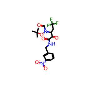 CC(C)(C)ON(C=O)C(CC(F)(F)F)C(=O)C(=O)NCc1cccc([N+](=O)[O-])c1